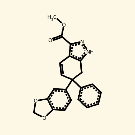 COC(=O)c1n[nH]c2c1C=CC(c1ccccc1)(c1ccc3c(c1)OCO3)C2